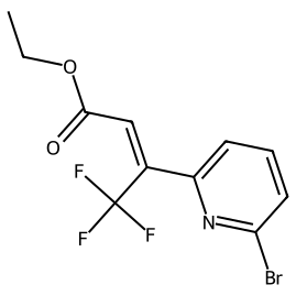 CCOC(=O)C=C(c1cccc(Br)n1)C(F)(F)F